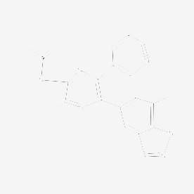 O=C(O)Nc1nc(-c2ccccc2)c(-c2cc(Cl)c3[nH]ncc3c2)nc1O